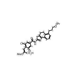 CCCOCCCc1cccc2c1CCc1sc(NC(=O)c3cc(Cl)c(C=C(OC)C(=O)O)c(Cl)c3)nc1-2